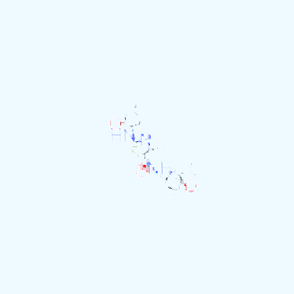 COc1ccccc1Nc1nc(C)c(C(=O)NCc2ccc3c(c2)CCO3)s1